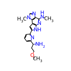 CNc1nc2[nH]c(-c3cccc([C@@H](N)CCOC)n3)cc2c2c1ncn2C